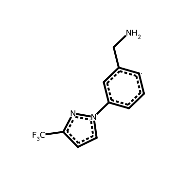 NCc1[c]ccc(-n2ccc(C(F)(F)F)n2)c1